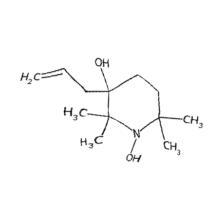 C=CCC1(O)CCC(C)(C)N(O)C1(C)C